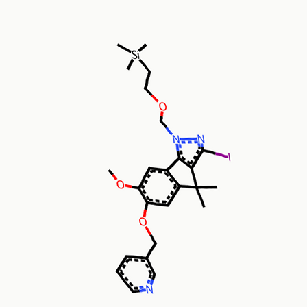 COc1cc2c(cc1OCc1cccnc1)C(C)(C)c1c(I)nn(COCC[Si](C)(C)C)c1-2